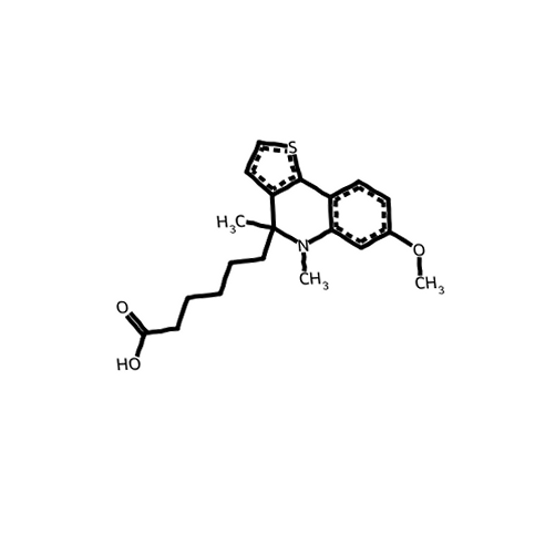 COc1ccc2c(c1)N(C)C(C)(CCCCCC(=O)O)c1ccsc1-2